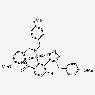 COc1ccc(CN(Cc2ccc(OC)cc2)S(=O)(=O)c2c(S(=O)O)ccc(I)c2-c2nnnn2Cc2ccc(OC)cc2)cc1